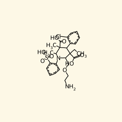 CCC1(C(=O)O)C(COCCN)N(c2ccccc2S(=O)(=O)O)C(C)C(C)(C(=O)O)C1c1ccccc1Cl